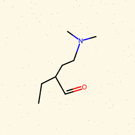 CCC(C=O)CCN(C)C